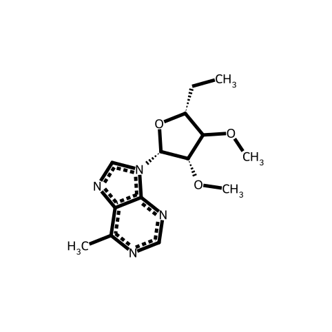 CC[C@H]1O[C@@H](n2cnc3c(C)ncnc32)[C@@H](OC)C1OC